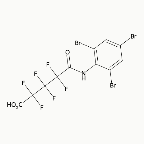 O=C(O)C(F)(F)C(F)(F)C(F)(F)C(=O)Nc1c(Br)cc(Br)cc1Br